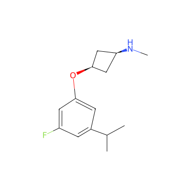 CN[C@H]1C[C@@H](Oc2cc(F)cc(C(C)C)c2)C1